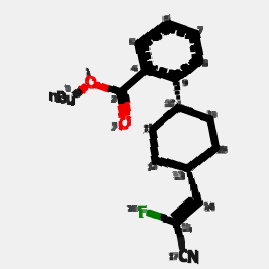 CCCCOC(=O)c1ccccc1[C@H]1CC[C@H](C=C(F)C#N)CC1